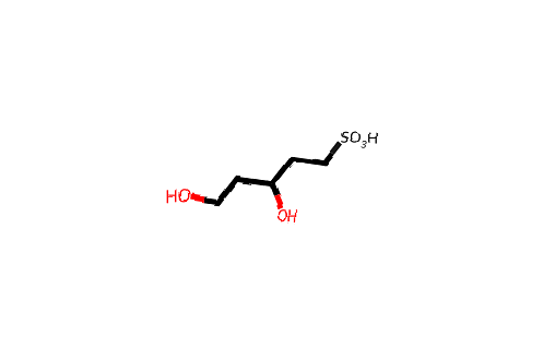 O=S(=O)(O)CCC(O)CCO